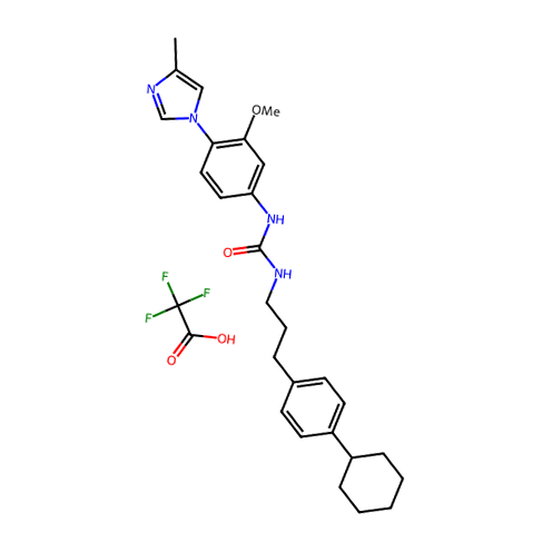 COc1cc(NC(=O)NCCCc2ccc(C3CCCCC3)cc2)ccc1-n1cnc(C)c1.O=C(O)C(F)(F)F